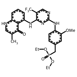 CCOP(=O)(Cc1ccc(Nc2ncc(C(F)(F)F)c(Nc3cccc4[nH]cc(C)c(=O)c34)n2)c(OC)c1)OCC